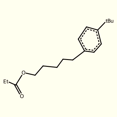 CCC(=O)OCCCCCc1ccc(C(C)(C)C)cc1